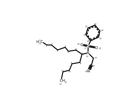 CCCCCCCC(CCCCC)N(CC#N)S(=O)(=O)c1ccccc1